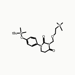 CC(C)(C)[Si](C)(C)Oc1ccc(N2CCC(=O)N(COCC[Si](C)(C)C)C2=O)cc1